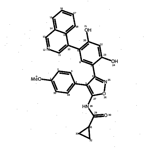 COc1ccc(-c2c(-c3cc(-c4cncc5ccccc45)c(O)cc3O)noc2NC(=O)C2CC2)cc1